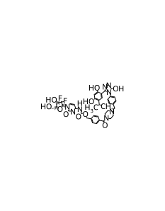 CC(C)c1cc(-c2nnc(O)n2-c2ccc(CN3CCN(C(=O)c4ccc(COC(=O)Nc5ccn([C@@H]6O[C@H](CO)[C@@H](O)C6(F)F)c(=O)n5)cc4)CC3)cc2)c(O)cc1O